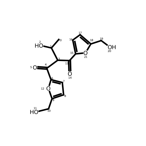 [CH2]C(O)C(C(=O)c1ccc(CO)o1)C(=O)c1ccc(CO)o1